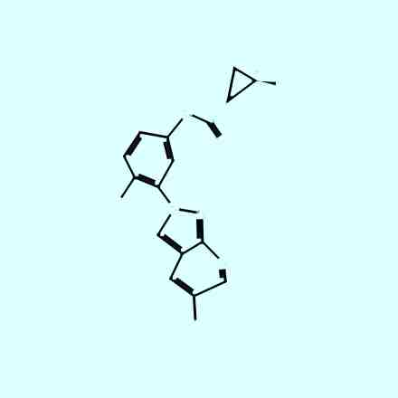 O=C(Nc1ccc(F)c(-n2cc3cc(Br)cnc3n2)c1)[C@@H]1C[C@H]1F